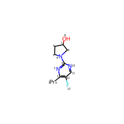 CC(C)c1nc(N2CCC(O)C2)ncc1F